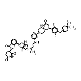 CN(CCNc1cc(N2CCC3(CC2)CN(c2cc(F)c(CN4CCC(C)(C)CC4)cc2F)CC(=O)N3)ncn1)[C@@H]1C[C@@H]2CN(c3cccc4c3CN(C3CCC(=O)NC3=O)C4=O)C[C@@H]2C1